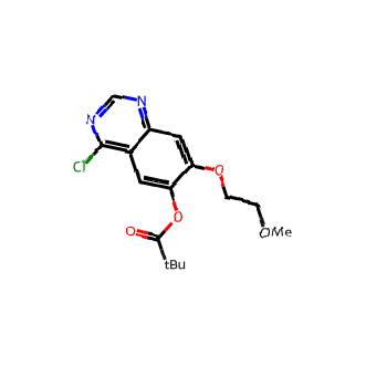 COCCOc1cc2ncnc(Cl)c2cc1OC(=O)C(C)(C)C